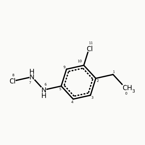 CCc1ccc(NNCl)cc1Cl